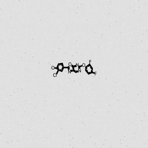 [O]c1ccc(-c2nc3cnc(Oc4ccc(F)cc4F)nc3o2)cc1Cl